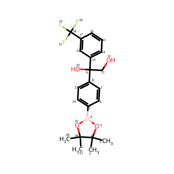 CC1(C)OB(c2ccc(C(O)(CO)c3cccc(C(F)(F)F)c3)cc2)OC1(C)C